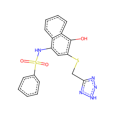 O=S(=O)(Nc1cc(SCc2nn[nH]n2)c(O)c2ccccc12)c1ccccc1